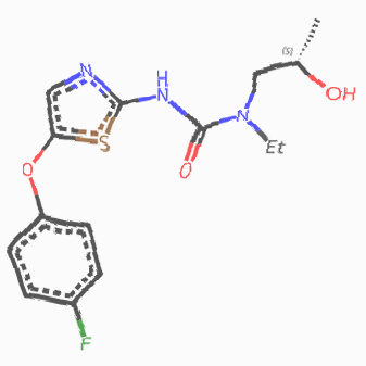 CCN(C[C@H](C)O)C(=O)Nc1ncc(Oc2ccc(F)cc2)s1